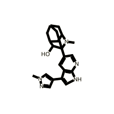 CN1C2CC3CC(C2)C(O)C1(c1cnc2[nH]cc(-c4cnn(C)c4)c2c1)C3